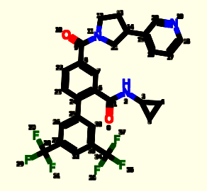 O=C(NC1CC1)c1cc(C(=O)N2CCC(c3cccnc3)C2)ccc1-c1cc(C(F)(F)F)cc(C(F)(F)F)c1